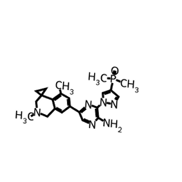 Cc1cc(-c2cnc(N)c(-n3cc(P(C)(C)=O)cn3)n2)cc2c1C1(CC1)CN(C)C2